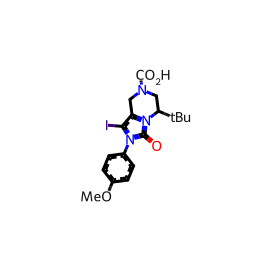 COc1ccc(-n2c(I)c3n(c2=O)C(C(C)(C)C)CN(C(=O)O)C3)cc1